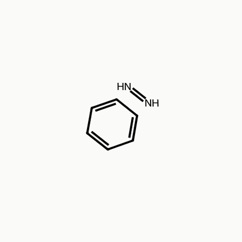 N=N.c1ccccc1